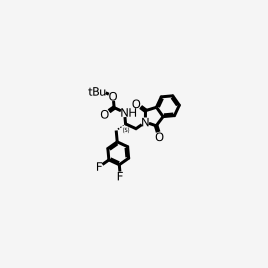 CC(C)(C)OC(=O)N[C@@H](Cc1ccc(F)c(F)c1)CN1C(=O)c2ccccc2C1=O